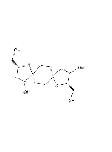 OC[C@@H]1CC(O)[C@@]2(CO[C@@]3(CO2)CC(O)[C@@H](CO)O3)O1